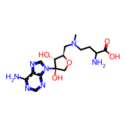 CN(CCC(N)C(=O)O)C[C@H]1OC[C@](O)(n2cnc3c(N)ncnc32)[C@@H]1O